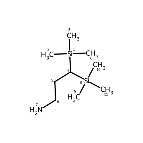 C[Si](C)(C)C(CCN)[Si](C)(C)C